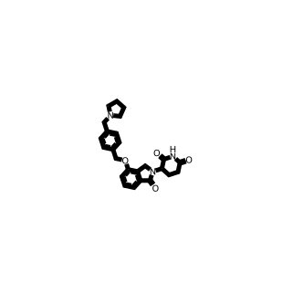 O=C1CCC(N2Cc3c(OCc4ccc(CN5CCCC5)cc4)cccc3C2=O)C(=O)N1